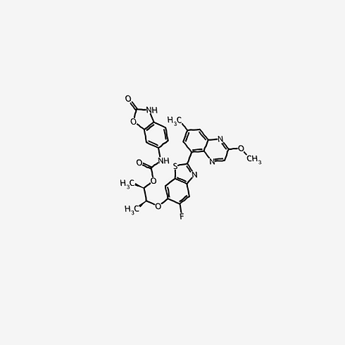 COc1cnc2c(-c3nc4cc(F)c(O[C@@H](C)[C@@H](C)OC(=O)Nc5ccc6[nH]c(=O)oc6c5)cc4s3)cc(C)cc2n1